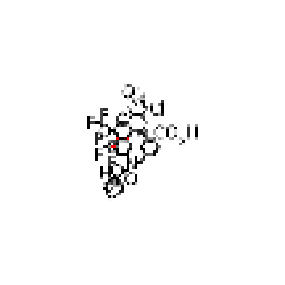 O=C(O)c1ccc(CN(C(=O)O[C@H]2CN3CCC2CC3)c2ccccc2F)cc1[C@H](Cc1c(Cl)c[n+]([O-])cc1Cl)c1ccc(OC(F)F)c(OC(F)F)c1